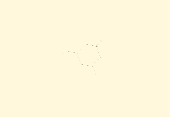 C=C1C=C(C)CC(C)C1